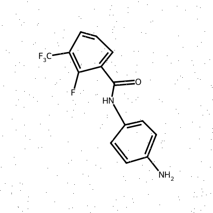 Nc1ccc(NC(=O)c2cccc(C(F)(F)F)c2F)cc1